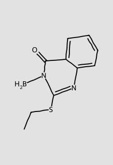 Bn1c(SCC)nc2ccccc2c1=O